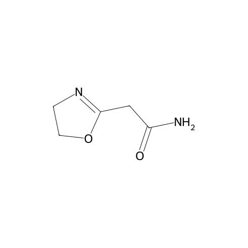 NC(=O)CC1=NCCO1